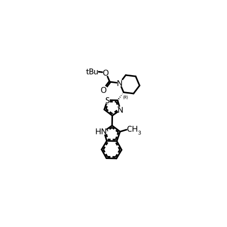 Cc1c(-c2csc([C@H]3CCCCN3C(=O)OC(C)(C)C)n2)[nH]c2ccccc12